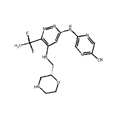 CC(F)(F)c1nnc(Nc2cnc(C#N)cn2)cc1NC[C@H]1CNCCO1